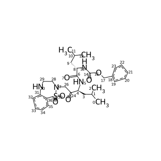 CC(C)C[C@H](NC(=O)[C@H](CC(C)C)NC(=O)OCc1ccccc1)C(=O)CN1CCNc2ccccc2S1(=O)=O